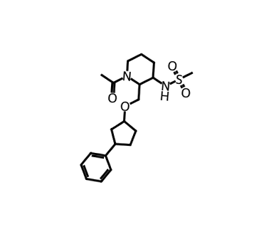 CC(=O)N1CCCC(NS(C)(=O)=O)C1COC1CCC(c2ccccc2)C1